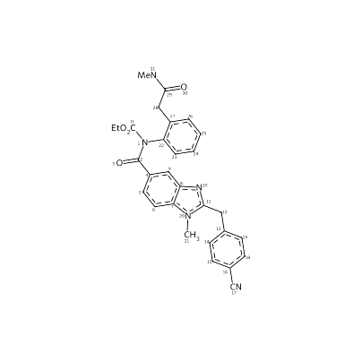 CCOC(=O)N(C(=O)c1ccc2c(c1)nc(Cc1ccc(C#N)cc1)n2C)c1ccccc1CC(=O)NC